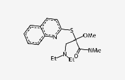 CCN(CC)CC(OC)(Sc1ccc2ccccc2n1)C(=O)NC